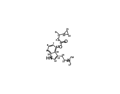 CC(SC(=O)Oc1cccc2[nH]cc(CCN(C)C)c12)C1CC1